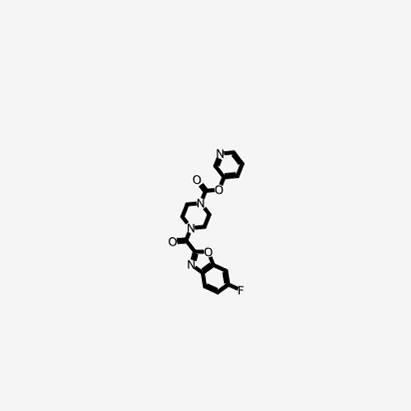 O=C(Oc1cccnc1)N1CCN(C(=O)c2nc3ccc(F)cc3o2)CC1